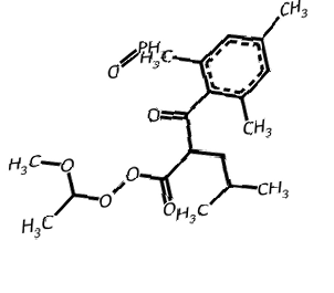 COC(C)OOC(=O)C(CC(C)C)C(=O)c1c(C)cc(C)cc1C.O=[PH3]